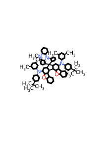 Cc1cc(C)cc(N(c2ccc(C(C)(C)C)cc2)c2cc3c(c4c2oc2ccccc24)-c2c(cc(N(c4ccc(C(C)(C)C)cc4)c4cc(C)cc(C)c4)c4c2oc2ccccc24)C32c3ccccc3N3c4ccccc4N(C)c4cccc2c43)c1